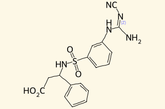 N#C/N=C(/N)Nc1cccc(S(=O)(=O)NC(CC(=O)O)c2ccccc2)c1